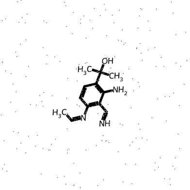 C/C=N\c1ccc(C(C)(C)O)c(N)c1C=N